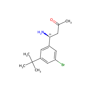 CC(=O)C[C@H](N)c1cc(Br)cc(C(C)(C)C)c1